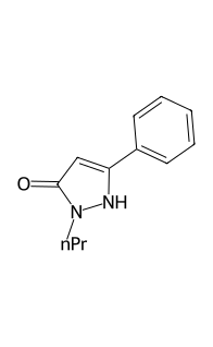 CCCn1[nH]c(-c2ccccc2)cc1=O